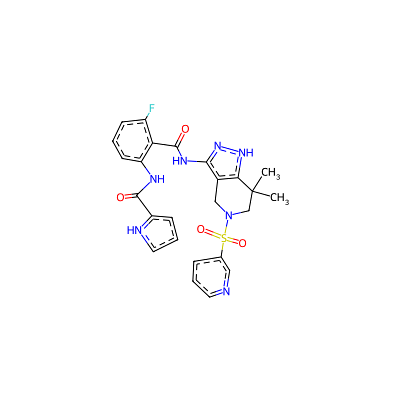 CC1(C)CN(S(=O)(=O)c2cccnc2)Cc2c(NC(=O)c3c(F)cccc3NC(=O)c3ccc[nH]3)n[nH]c21